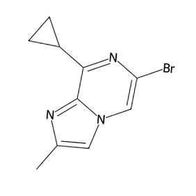 Cc1cn2cc(Br)nc(C3CC3)c2n1